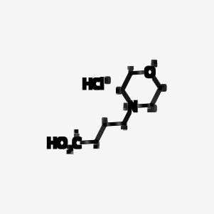 Cl.O=C(O)CCCN1CCOCC1